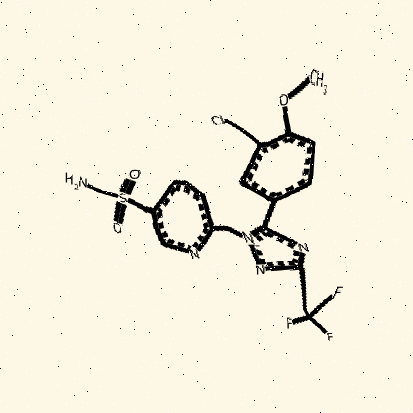 COc1ccc(-c2nc(C(F)(F)F)nn2-c2ccc(S(N)(=O)=O)cn2)cc1Cl